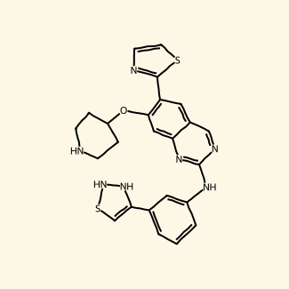 C1=C(c2cccc(Nc3ncc4cc(-c5nccs5)c(OC5CCNCC5)cc4n3)c2)NNS1